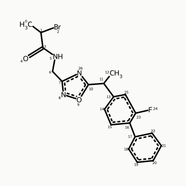 CC(Br)C(=O)NCc1noc(C(C)c2ccc(-c3ccccc3)c(F)c2)n1